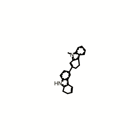 Cn1c2c(c3ccccc31)CCC(c1ccc3[nH]c4c(c3c1)C=CCC4)=C2